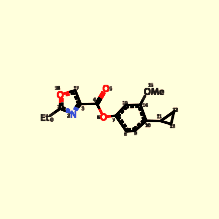 CCc1nc(C(=O)Oc2ccc(C3CC3)c(OC)c2)co1